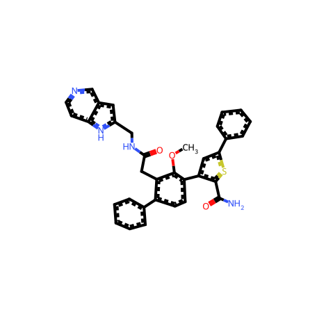 COc1c(-c2cc(-c3ccccc3)sc2C(N)=O)ccc(-c2ccccc2)c1CC(=O)NCc1cc2cnccc2[nH]1